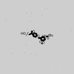 CC(C)(C)C(=O)Nc1cc(COc2ccc3c(c2)OCC3CC(=O)O)c2c(c1)OCO2